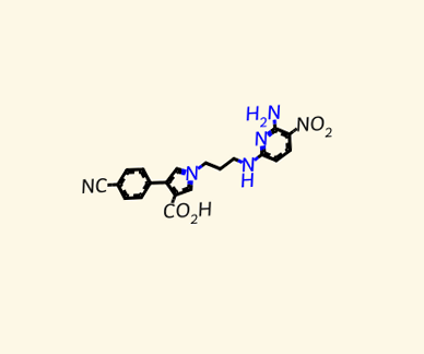 N#Cc1ccc(-c2cn(CCCNc3ccc([N+](=O)[O-])c(N)n3)cc2C(=O)O)cc1